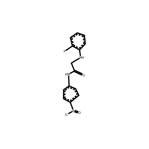 O=C(CNc1ccccc1F)Nc1ccc([N+](=O)[O-])cc1